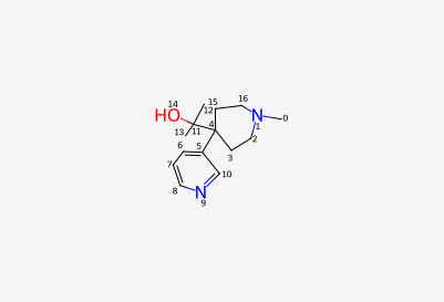 CN1CCC(c2cccnc2)(C(C)(C)O)CC1